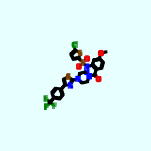 COc1ccc(C(=O)N2CCN(c3nc(-c4ccc(C(F)(F)F)cc4)cs3)CC2)c(NS(=O)(=O)c2ccc(Cl)s2)c1